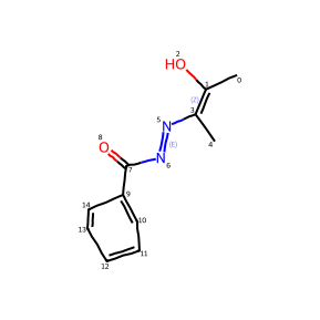 C/C(O)=C(C)/N=N/C(=O)c1ccccc1